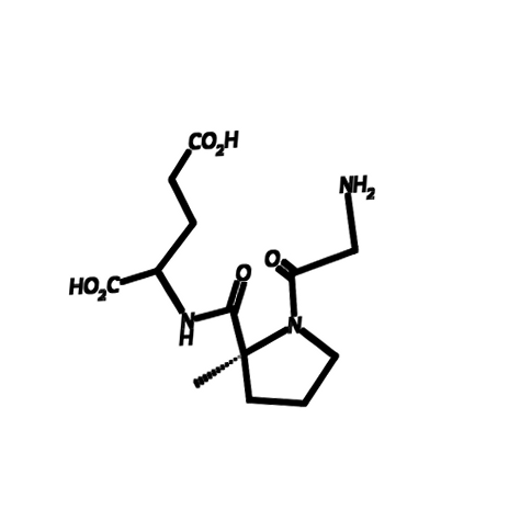 C[C@@]1(C(=O)NC(CCC(=O)O)C(=O)O)CCCN1C(=O)CN